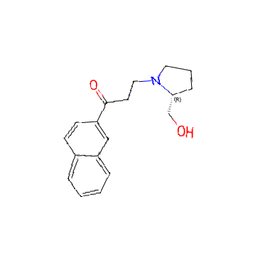 O=C(CCN1CCC[C@@H]1CO)c1ccc2ccccc2c1